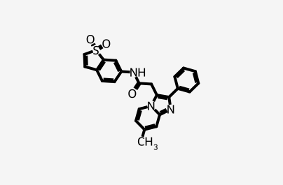 Cc1ccn2c(CC(=O)Nc3ccc4c(c3)S(=O)(=O)C=C4)c(-c3ccccc3)nc2c1